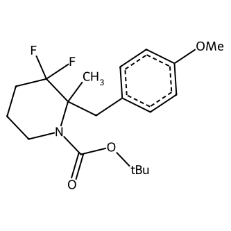 COc1ccc(CC2(C)N(C(=O)OC(C)(C)C)CCCC2(F)F)cc1